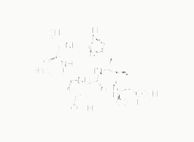 CC(C)C[C@H](NC(=O)[C@@H](N)CS)C(=O)N[C@@H](CCC(=O)O)C(=O)N[C@@H](Cc1c[nH]cn1)C(=O)N[C@@H](CC(=O)O)C(=O)O